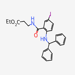 CCOC(=O)CCNC(=O)c1cc(I)ccc1NC(c1ccccc1)c1ccccc1